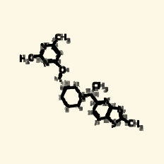 Cc1cc(OC[C@H]2CCCN([C@H](C)c3ccc4sc(C)nc4n3)C2)nc(C)n1